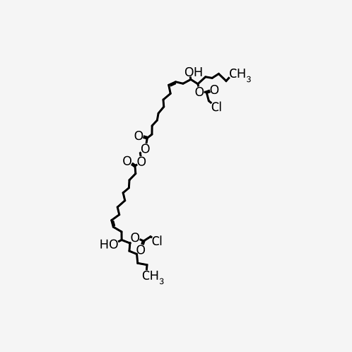 CCCCCC(OC(=O)CCl)C(O)C/C=C\CCCCCCCC(=O)OCOC(=O)CCCCCCC/C=C\CC(O)C(CCCCC)OC(=O)CCl